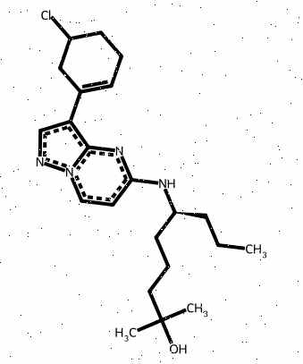 CCC[C@@H](CCCC(C)(C)O)Nc1ccn2ncc(C3=CCCC(Cl)C3)c2n1